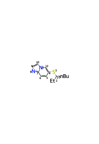 CCCCC(CC)Sc1ccc2nccn2c1